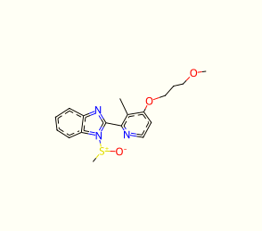 COCCCOc1ccnc(-c2nc3ccccc3n2[S+](C)[O-])c1C